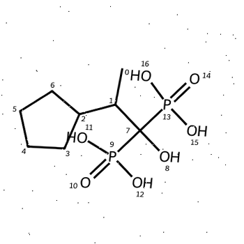 CC(C1CCCC1)C(O)(P(=O)(O)O)P(=O)(O)O